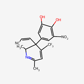 CC1=NC(C)C(/C=C\C#N)(c2cc(O)c(O)c([N+](=O)[O-])c2)C(C(F)(F)F)=C1